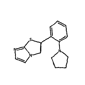 c1ccc(N2CCCC2)c(C2Cn3ccnc3S2)c1